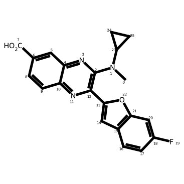 CN(c1nc2cc(C(=O)O)ccc2nc1-c1cc2ccc(F)cc2o1)C1CC1